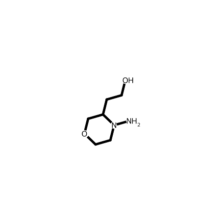 NN1CCOCC1CCO